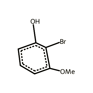 COc1cccc(O)c1Br